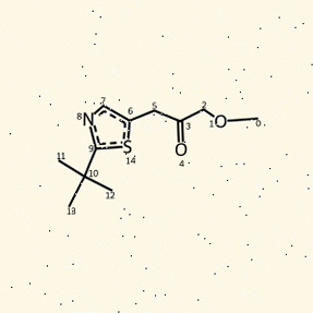 COCC(=O)Cc1cnc(C(C)(C)C)s1